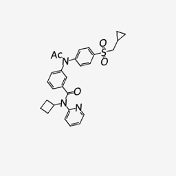 CC(=O)N(c1ccc(S(=O)(=O)CC2CC2)cc1)c1cccc(C(=O)N(c2ccccn2)C2CCC2)c1